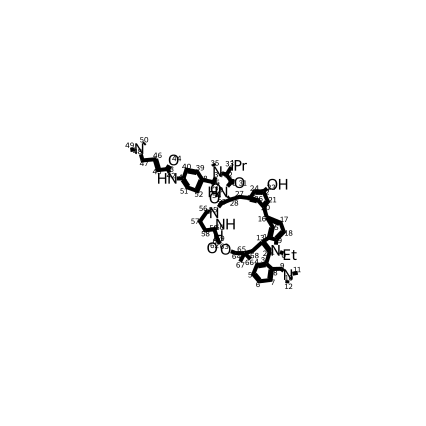 CCn1c(-c2ccccc2CN(C)C)c2c3cc(ccc31)-c1cc(O)cc(c1)C[C@H](NC(=O)C(C(C)C)N(C)C(=O)c1ccc(NC(=O)/C=C/CN(C)C)cc1)C(=O)N1CCC[C@H](N1)C(=O)OCC(C)(C)C2